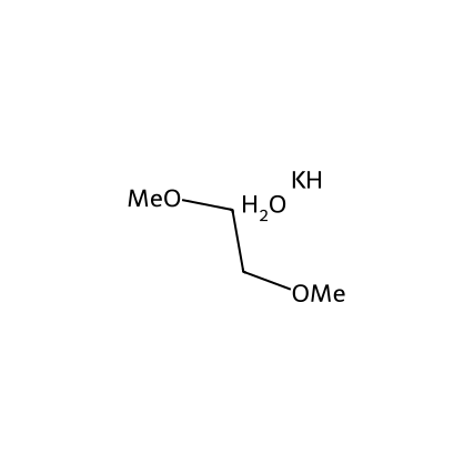 COCCOC.O.[KH]